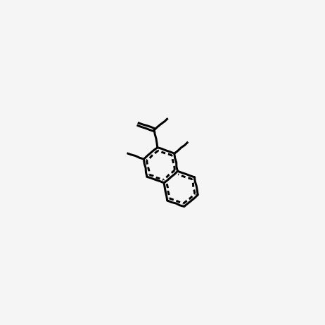 C=C(C)c1c(C)cc2ccccc2c1C